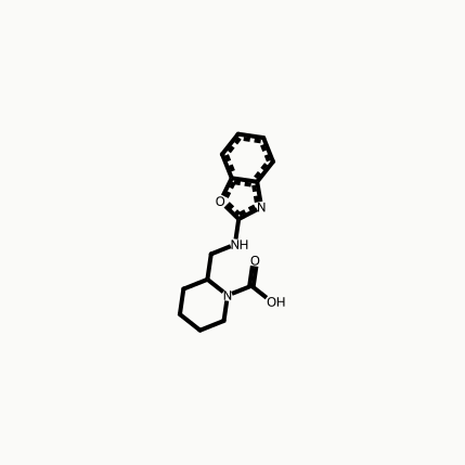 O=C(O)N1CCCCC1CNc1nc2ccccc2o1